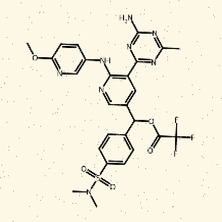 COc1ccc(Nc2ncc(C(OC(=O)C(F)(F)F)c3ccc(S(=O)(=O)N(C)C)cc3)cc2-c2nc(C)nc(N)n2)cn1